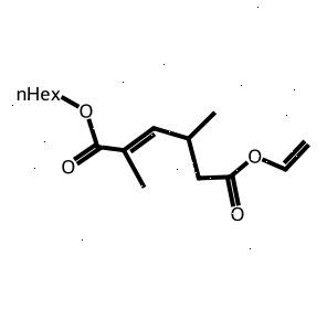 C=COC(=O)CC(C)C=C(C)C(=O)OCCCCCC